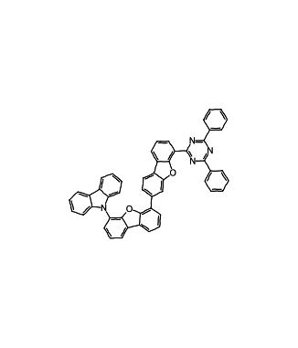 c1ccc(-c2nc(-c3ccccc3)nc(-c3cccc4c3oc3cc(-c5cccc6c5oc5c(-n7c8ccccc8c8ccccc87)cccc56)ccc34)n2)cc1